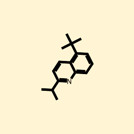 CC(C)c1ccc2c(C(C)(C)C)cccc2n1